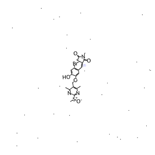 Cc1nc([S+](C)[O-])nc(C)c1COc1cc(/C=C2\SC(=O)N(C)C2=O)c(Br)cc1O